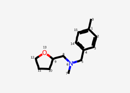 Cc1ccc(CN(C)CC2CCCO2)cc1